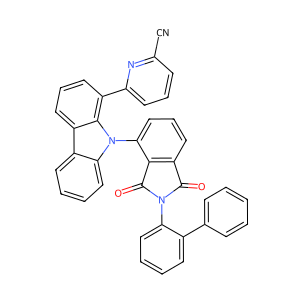 N#Cc1cccc(-c2cccc3c4ccccc4n(-c4cccc5c4C(=O)N(c4ccccc4-c4ccccc4)C5=O)c23)n1